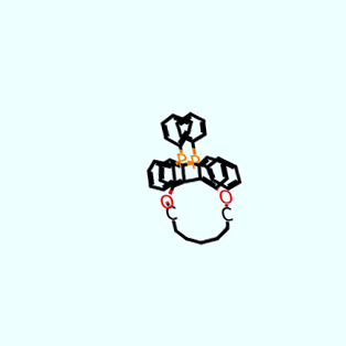 c1ccc(P(c2ccccc2)c2cccc3c2-c2c(cccc2P(c2ccccc2)c2ccccc2)OCCCCCCCO3)cc1